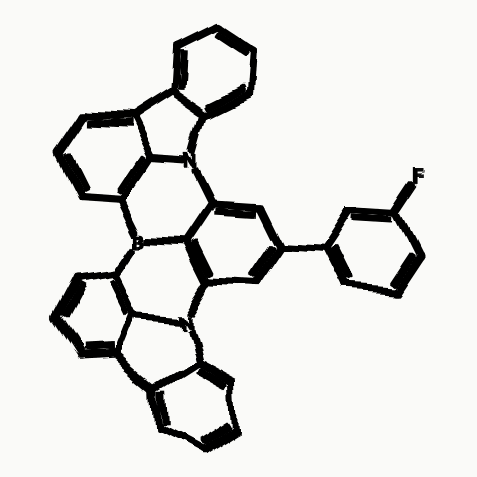 Fc1cccc(-c2cc3c4c(c2)-n2c5ccccc5c5cccc(c52)B4c2cccc4c5ccccc5n-3c24)c1